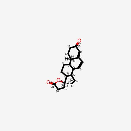 CC[C@]12CCC3C(C=CC4=CC(=O)CC[C@@H]43)C1CC[C@@]21CCC(=O)O1